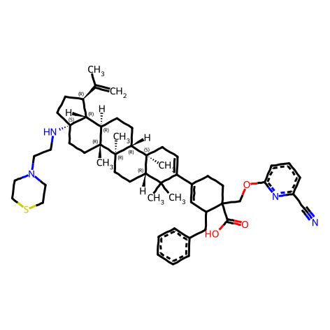 C=C(C)[C@@H]1CC[C@]2(NCCN3CCSCC3)CC[C@]3(C)[C@H](CC[C@@H]4[C@@]5(C)CC=C(C6=CC(Cc7ccccc7)C(COc7cccc(C#N)n7)(C(=O)O)CC6)C(C)(C)[C@@H]5CC[C@]43C)[C@@H]12